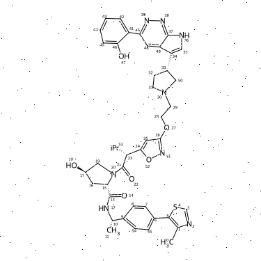 Cc1ncsc1-c1ccc([C@H](C)NC(=O)[C@@H]2C[C@@H](O)CN2C(=O)[C@@H](c2cc(OCCN3CC[C@H](c4c[nH]c5nnc(-c6ccccc6O)cc45)C3)no2)C(C)C)cc1